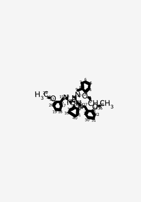 CCOc1ccccc1CN=N[Si](N=NCc1ccccc1OCC)(N=NCc1ccccc1OCC)c1ccccc1